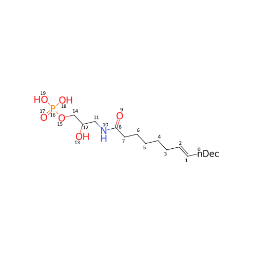 CCCCCCCCCCC=CCCCCCC(=O)NCC(O)COP(=O)(O)O